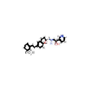 O=C(O)c1cccc(CCc2ccc3c(c2)CC[C@H](CNC[C@H](O)c2cccnc2)O3)c1